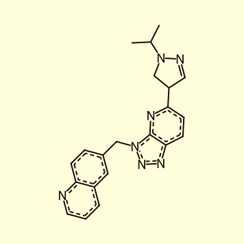 CC(C)N1CC(c2ccc3nnn(Cc4ccc5ncccc5c4)c3n2)C=N1